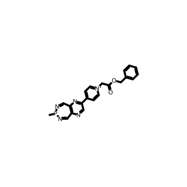 CP1N=Cc2ncc(-c3cc[n+](CC(=O)OCc4ccccc4)cc3)nc2C=N1